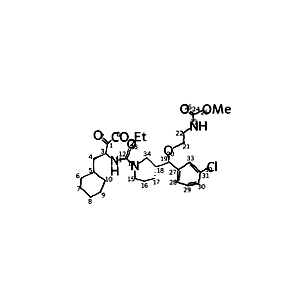 CCOC(=O)C(=O)[C@H](CC1CCCCC1)NC(=O)N1CCC[C@@H]([C@@H](OCCNC(=O)OC)c2cccc(Cl)c2)C1